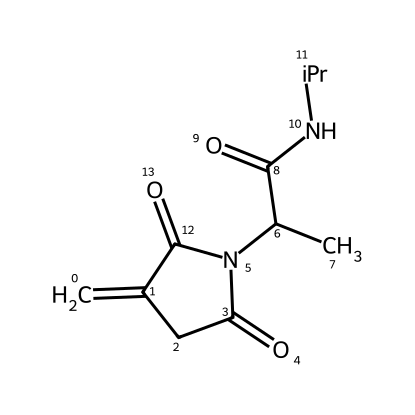 C=C1CC(=O)N(C(C)C(=O)NC(C)C)C1=O